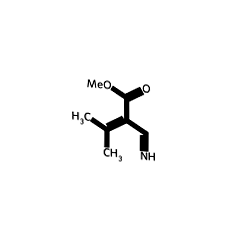 COC(=O)C(C=N)=C(C)C